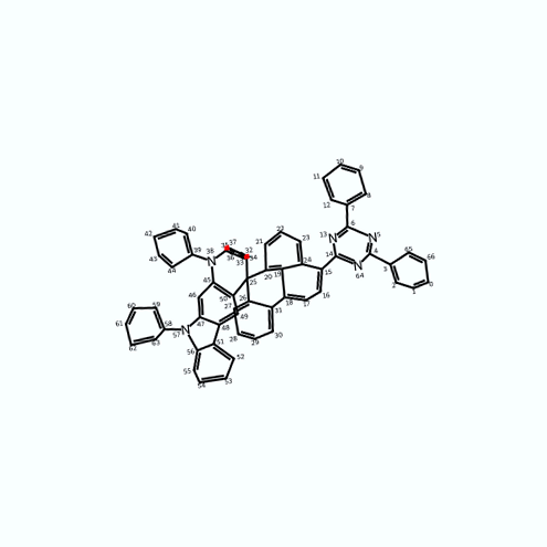 c1ccc(-c2nc(-c3ccccc3)nc(-c3ccc4c5c(cccc35)C3(c5ccccc5-4)c4ccccc4N(c4ccccc4)c4cc5c(cc43)c3ccccc3n5-c3ccccc3)n2)cc1